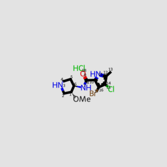 CO[C@@H]1CNCC[C@H]1NC(=O)c1[nH]c(C)c(Cl)c1Br.Cl